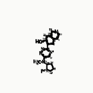 CN(c1cnc(-c2cc3ccncc3cc2O)nn1)[C@H]1CCC[C@@H]1F